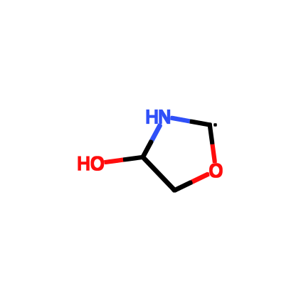 OC1CO[CH]N1